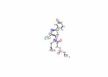 C#CCN(C(=O)CC[S+]([O-])CC(F)(F)F)c1sc(-c2ccc[n+]([O-])c2)nc1Cl